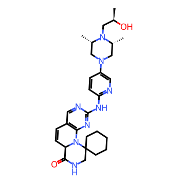 C[C@@H]1CN(c2ccc(Nc3ncc4c(n3)N3C(C=C4)C(=O)NCC34CCCCC4)nc2)C[C@H](C)N1C[C@@H](C)O